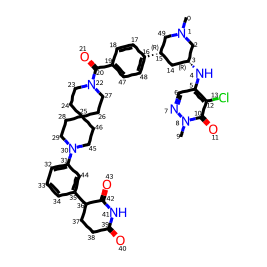 CN1C[C@H](Nc2cnn(C)c(=O)c2Cl)C[C@H](c2ccc(C(=O)N3CCC4(CC3)CCN(c3cccc(C5CCC(=O)NC5=O)c3)CC4)cc2)C1